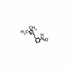 Cc1cn(CCc2cccc(NC=O)c2)cc1C